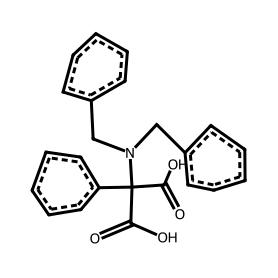 O=C(O)C(C(=O)O)(c1ccccc1)N(Cc1ccccc1)Cc1ccccc1